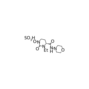 CCN1C(=O)N(OS(=O)(=O)O)CC[C@H]1C(=O)NN1CCOCC1